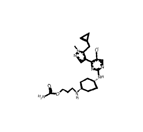 Cn1ncc(-c2nc(N[C@H]3CC[C@H](NCCCOC(N)=O)CC3)ncc2Cl)c1CC1CC1